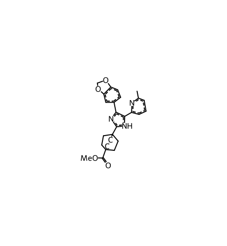 COC(=O)C12CCC(c3nc(-c4ccc5c(c4)OCO5)c(-c4cccc(C)n4)[nH]3)(CC1)CC2